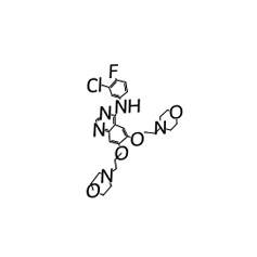 Fc1ccc(Nc2ncnc3cc(OCCN4CCOCC4)c(OCCN4CCOCC4)cc23)cc1Cl